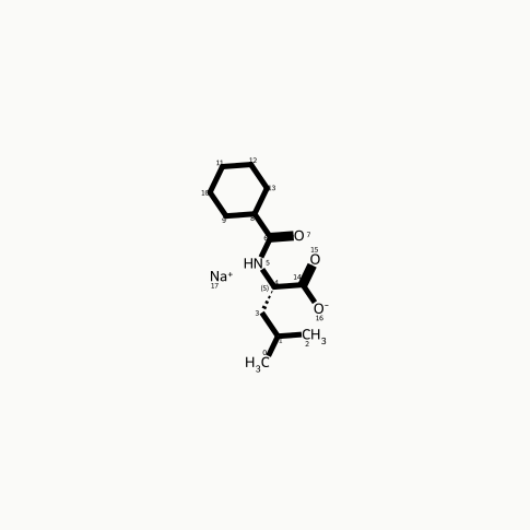 CC(C)C[C@H](NC(=O)C1CCCCC1)C(=O)[O-].[Na+]